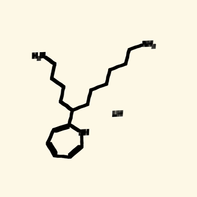 NCCCCCCC(CCCCN)C1=CC=CC=CN1.[LiH]